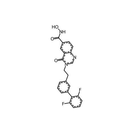 O=C(NO)c1ccc2ncn(CCc3cccc(-c4c(F)cccc4F)c3)c(=O)c2c1